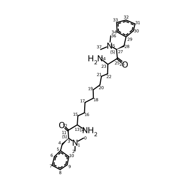 CN(C)[C@@H](Cc1ccccc1)C(=O)C(N)CCCCCCCCC(N)C(=O)[C@H](Cc1ccccc1)N(C)C